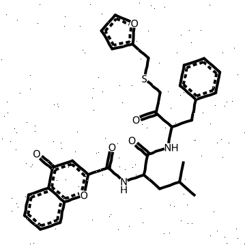 CC(C)CC(NC(=O)c1cc(=O)c2ccccc2o1)C(=O)NC(Cc1ccccc1)C(=O)CSCc1ccco1